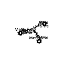 CO[Si](CCCCC[Si](OC)(OC)c1ccccc1)(CCCCC[Si](OC)(OC)c1ccccc1)CCCCC[Si](OC)(OC)c1ccccc1